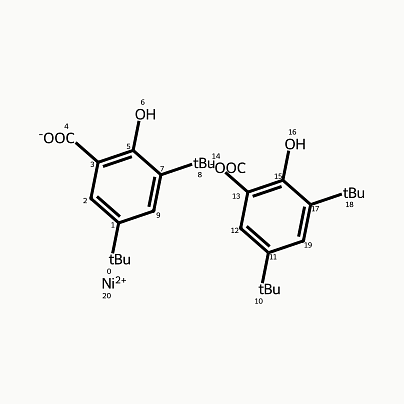 CC(C)(C)c1cc(C(=O)[O-])c(O)c(C(C)(C)C)c1.CC(C)(C)c1cc(C(=O)[O-])c(O)c(C(C)(C)C)c1.[Ni+2]